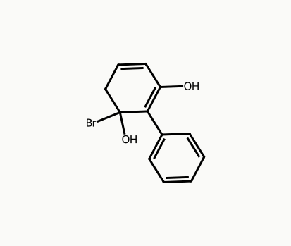 OC1=C(c2ccccc2)C(O)(Br)CC=C1